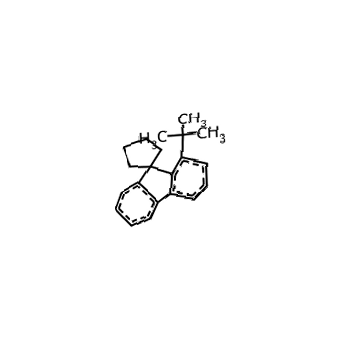 CC(C)(C)c1cccc2c1C1(CCCC1)c1ccccc1-2